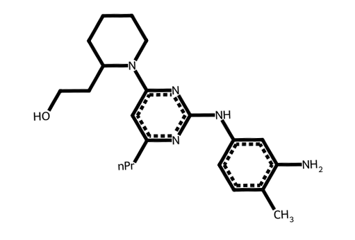 CCCc1cc(N2CCCCC2CCO)nc(Nc2ccc(C)c(N)c2)n1